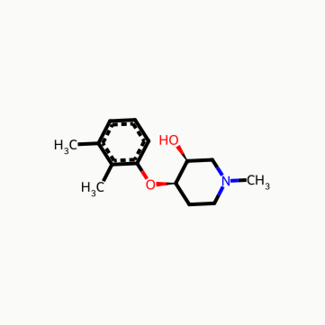 Cc1cccc(O[C@@H]2CCN(C)C[C@@H]2O)c1C